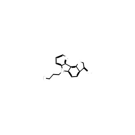 O=C1COc2c1ccc1c2c2ncccc2n1CCCF